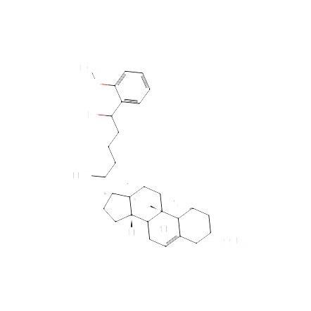 COc1ccccc1C(O)CCCC(C)[C@H]1CC[C@H]2[C@@H]3CC=C4C[C@@H](O)CC[C@]4(C)[C@H]3CC[C@]12C